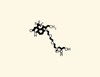 CCc1c(C)c2c3c(C(F)(F)F)cc(=O)[nH]c3ccc2n1CCOCCOCCN(C)CC(O)CO